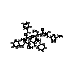 CC(C)c1nc(CN(C)C(=O)NC(C(=O)NC(CC2CCCCC2)CC(O)C(Cc2ccccc2)NC(=O)OCc2cncs2)C(C)C)cs1